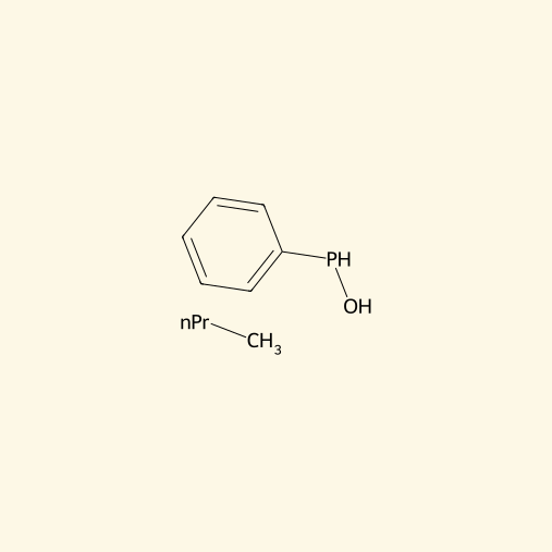 CCCC.OPc1ccccc1